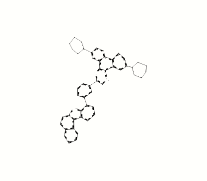 c1cc(-c2cnc3c4cc(C5CCCCC5)ccc4c4ccc(C5CCCCC5)cc4c3n2)cc(-c2cccc3c2oc2ccc4ccccc4c23)c1